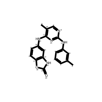 Cc1cccc(Nc2ncc(C)c(Nc3ccc4oc(=O)[nH]c4c3)n2)c1